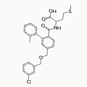 CSCCC(NC(=O)c1ccc(COCc2cccc(Cl)c2)cc1-c1ccccc1C)C(=O)O